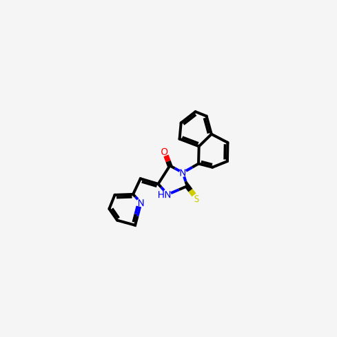 O=C1C(=Cc2ccccn2)NC(=S)N1c1cccc2ccccc12